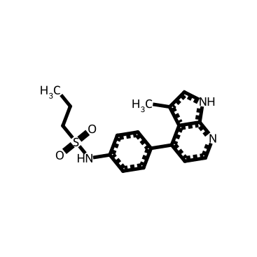 CCCS(=O)(=O)Nc1ccc(-c2ccnc3[nH]cc(C)c23)cc1